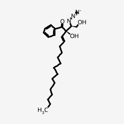 CCCCCCCCCCCCC/C=C/[C@](O)(C(=O)c1ccccc1)[C@H](CO)N=[N+]=[N-]